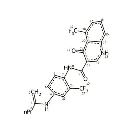 C=C(CCC)Nc1ccc(NC(=O)c2c[nH]c3cccc(C(F)(F)F)c3c2=O)c(C(F)(F)F)c1